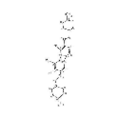 CC1CCC(COC2=C(F)C3c4c(cc(OCC5CCC(C)CC5)c(F)c4F)C3C=C2)CC1